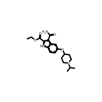 CCOC(=O)c1[nH]c2ccc(OC3CCN(C(C)C)CC3)cc2c1C(N)=O